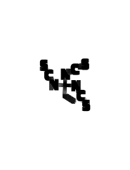 C=CC(N=C=S)(N=C=S)N=C=S